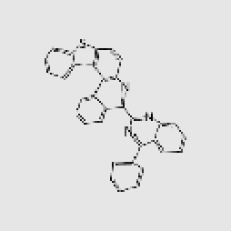 c1ccc(-c2nc(-c3nc4ccc5sc6ccccc6c5c4c4ccccc34)nc3ccccc23)cc1